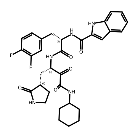 O=C(NC1CCCCC1)C(=O)[C@H](C[C@@H]1CCNC1=O)NC(=O)[C@H](Cc1ccc(F)c(F)c1)NC(=O)c1cc2ccccc2[nH]1